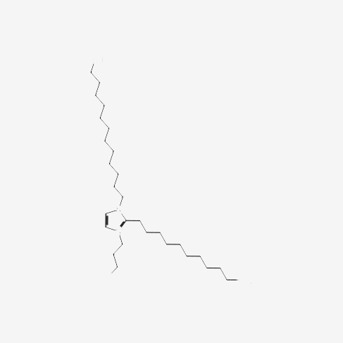 CCCCCCCCCCCCCn1cc[n+](CCCC)c1CCCCCCCCCCC